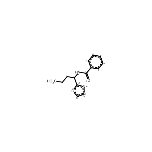 O=C(O)CCC(NC(=O)c1ccccc1)c1nnco1